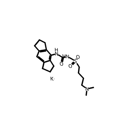 CN(C)CCCCS(=O)(=O)NC(=O)Nc1c2c(cc3c1CCC3)CCC2.[K]